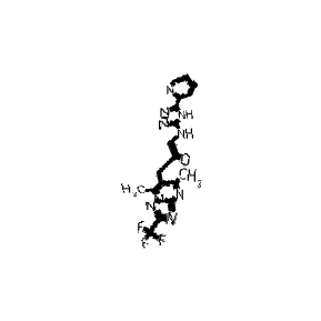 Cc1nc2nc(C(F)(F)F)nn2c(C)c1CC(=O)CNc1nnc(-c2ccccn2)[nH]1